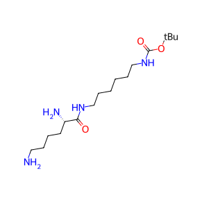 CC(C)(C)OC(=O)NCCCCCCNC(=O)[C@@H](N)CCCCN